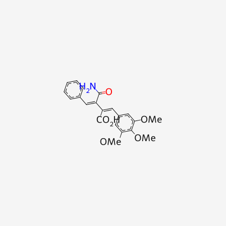 COc1cc(C=C(C(=O)O)C(=Cc2ccccc2)C(N)=O)cc(OC)c1OC